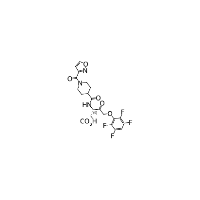 O=C(O)C[C@H](NC(=O)C1CCN(C(=O)c2ccon2)CC1)C(=O)COc1c(F)c(F)cc(F)c1F